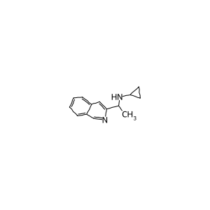 CC(NC1CC1)c1cc2ccccc2cn1